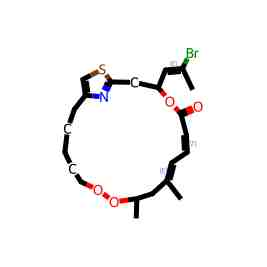 C/C(Br)=C\C1Cc2nc(cs2)CCCCCOOC(C)C/C(C)=C/C=C\C(=O)O1